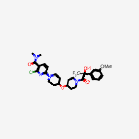 COc1cccc([C@@](O)(C(=O)N2CCC(OC3CCN(c4ccc(C(=O)N(C)C)c(Cl)n4)CC3)CC2)C(F)(F)F)c1